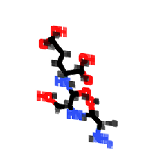 C[C@H](N)C(=O)N[C@@H](CO)C(=O)N[C@@H](CCC(=O)O)C(=O)O